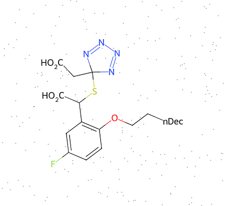 CCCCCCCCCCCCOc1ccc(F)cc1C(SC1(CC(=O)O)N=NN=N1)C(=O)O